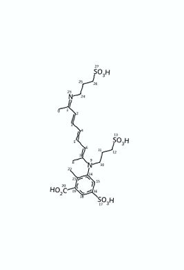 CC(/C=C/C=C/C=C(\C)N(CCCS(=O)(=O)O)c1cc(S(=O)(=O)O)cc(C(=O)O)c1C)=N/CCCS(=O)(=O)O